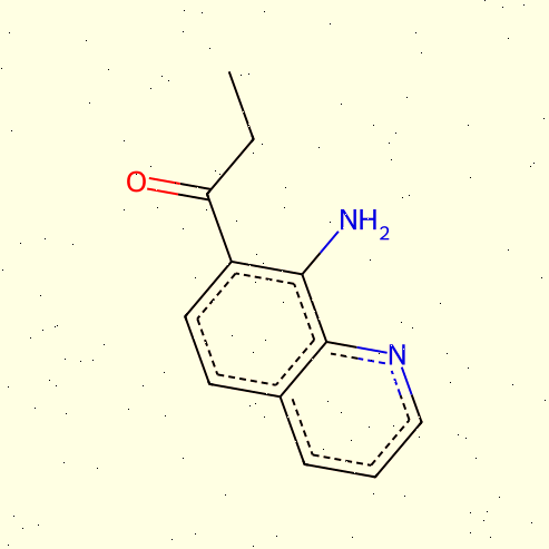 CCC(=O)c1ccc2cccnc2c1N